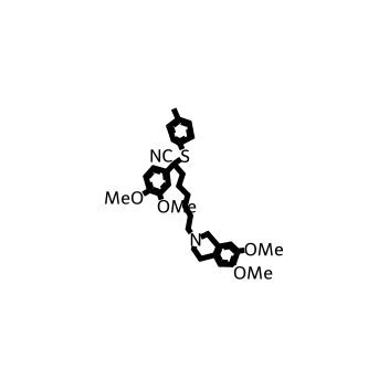 COc1ccc(C(C#N)(CCCCCCN2CCc3cc(OC)c(OC)cc3C2)Sc2ccc(C)cc2)cc1OC